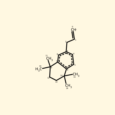 [CH]=CCc1ccc2c(c1)C(C)(C)CCC2(C)C